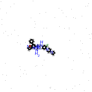 Nc1nc(Nc2ccc(N3CCC(N4CCCC4)CC3)c(F)c2)nn1-c1cc(-c2ccccc2)c2c(n1)C1CCN(CC1)C2